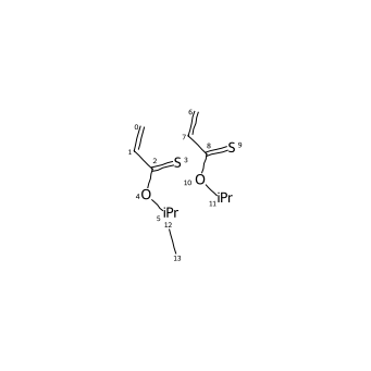 C=CC(=S)OC(C)C.C=CC(=S)OC(C)C.CC